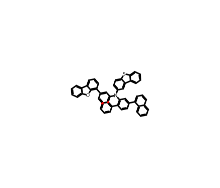 c1ccc(-c2ccc(-c3cccc4ccccc34)cc2N(c2cccc(-c3cccc4c3oc3ccccc34)c2)c2ccc3sc4ccccc4c3c2)cc1